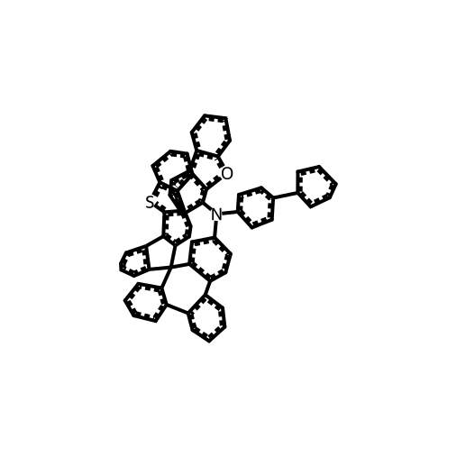 c1ccc(-c2ccc(N(c3ccc4c(c3)C3(c5ccccc5-c5ccccc5-4)c4ccccc4-c4c3ccc3c4sc4ccccc43)c3cccc4c3oc3ccccc34)cc2)cc1